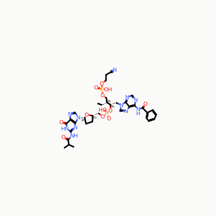 CC[C@H](COP(=O)(O)OCCC#N)[C@H](Cn1cnc2c(NC(=O)c3ccccc3)ncnc21)OP(=O)(O)OC[C@@H]1CC[C@H](n2cnc3c(=O)[nH]c(NC(=O)C(C)C)nc32)O1